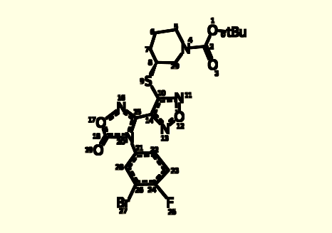 CC(C)(C)OC(=O)N1CCC[C@H](Sc2nonc2-c2noc(=O)n2-c2ccc(F)c(Br)c2)C1